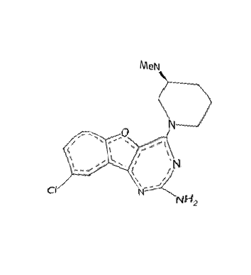 CN[C@H]1CCCN(c2nc(N)nc3c2oc2ccc(Cl)cc23)C1